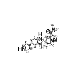 Cc1cc(-c2[nH]c3ccc(C4CCNCC4)cc3c2C(C)C)cc2c(C(=O)N(C)C)cnn12